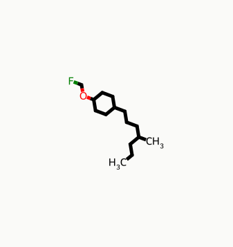 CCCC(C)CCCC1CCC(OCF)CC1